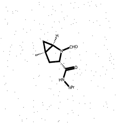 CCCNC(=O)[C@@H]1C[C@@]2(C)C[C@H]2N1C=O